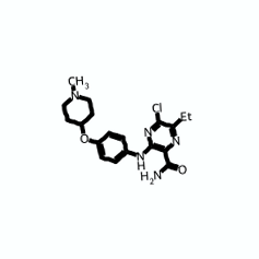 CCc1nc(C(N)=O)c(Nc2ccc(OC3CCN(C)CC3)cc2)nc1Cl